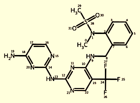 CN(c1ccccc1CNc1nc(Nc2nccc(N)n2)ncc1C(F)(F)F)S(C)(=O)=O